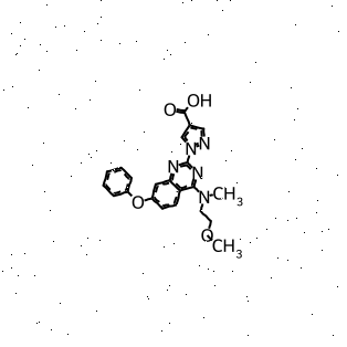 COCCN(C)c1nc(-n2cc(C(=O)O)cn2)nc2cc(Oc3ccccc3)ccc12